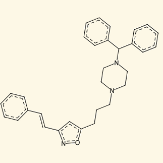 C(=Cc1cc(CCCN2CCN(C(c3ccccc3)c3ccccc3)CC2)on1)c1ccccc1